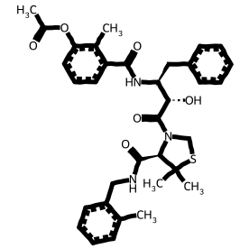 CC(=O)Oc1cccc(C(=O)N[C@@H](Cc2ccccc2)[C@H](O)C(=O)N2CSC(C)(C)[C@H]2C(=O)NCc2ccccc2C)c1C